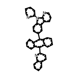 c1ccc(-n2c3ccc(-c4c5ccccc5c(-c5ccc6ccccc6n5)c5ccccc45)cc3c3cccnc32)nc1